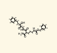 NC(=O)C(CCCNC(=O)OCc1ccccc1)C(=O)NCC(=O)C(O)CCc1ccccc1